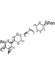 CCCCC[C@H]1CC[C@H](C=CC#C[C@H]2CC[C@H](c3cc(F)c(C#N)c(F)c3)CC2)CC1